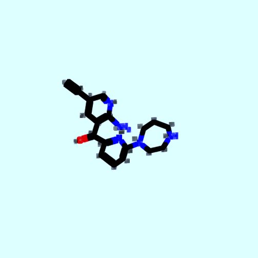 C#Cc1cnc(N)c(C(=O)c2cccc(N3CCCNCC3)n2)c1